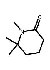 CN1C(=O)CCCC1(C)C